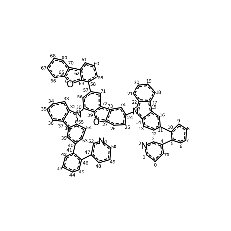 c1cncc(-c2ccccc2-c2ccc3c(c2)c2ccccc2n3-c2ccc3oc4c(-n5c6ccccc6c6cc(-c7ccccc7-c7cccnc7)ccc65)cc(-c5cccc6c5oc5ccccc56)cc4c3c2)c1